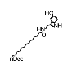 CCCCCCCCCCCCCCCCCCCCCCCC(=O)NCCc1c[nH]c2ccc(O)cc12